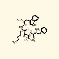 C[C@@H](O)[C@H](NC(=O)[C@@H](N)Cc1ccccc1)C(=O)C(=O)[C@H](CCCCN)NN[C@H](C=O)Cc1c[nH]c2ccccc12